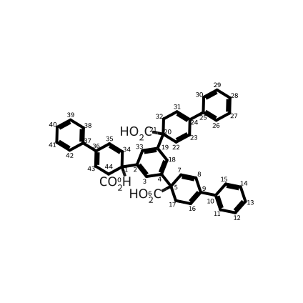 O=C(O)C1(c2cc(C3(C(=O)O)C=CC(c4ccccc4)=CC3)cc(C3(C(=O)O)C=CC(c4ccccc4)=CC3)c2)C=CC(c2ccccc2)=CC1